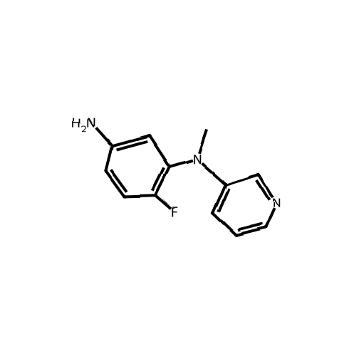 CN(c1cccnc1)c1cc(N)ccc1F